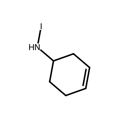 INC1CC=CCC1